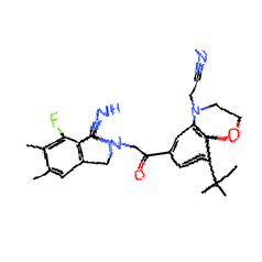 Cc1cc2c(c(F)c1C)C(=N)N(CC(=O)c1cc3c(c(C(C)(C)C)c1)OCCN3CC#N)C2